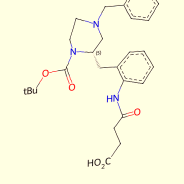 CC(C)(C)OC(=O)N1CCN(Cc2ccccc2)C[C@@H]1Cc1ccccc1NC(=O)CCC(=O)O